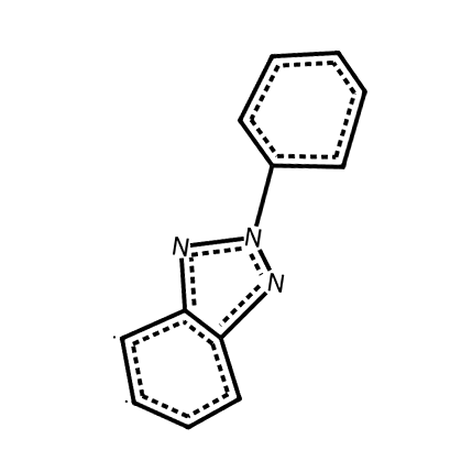 [c]1[c]c2nn(-c3ccccc3)nc2cc1